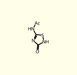 CC(=O)Nc1nc(=O)[nH]s1